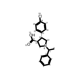 CC(c1ccccc1)N1C[C@@H](C(=O)O)[C@H](c2ccc(Cl)cc2)C1